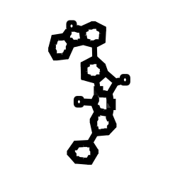 O=C1c2cc(-c3cccc4oc5ccccc5c34)ccc2-n2c1nc1ccc(-c3ccccc3)cc1c2=O